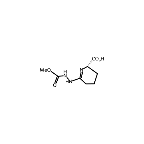 COC(=O)NNC1=N[C@H](C(=O)O)CCC1